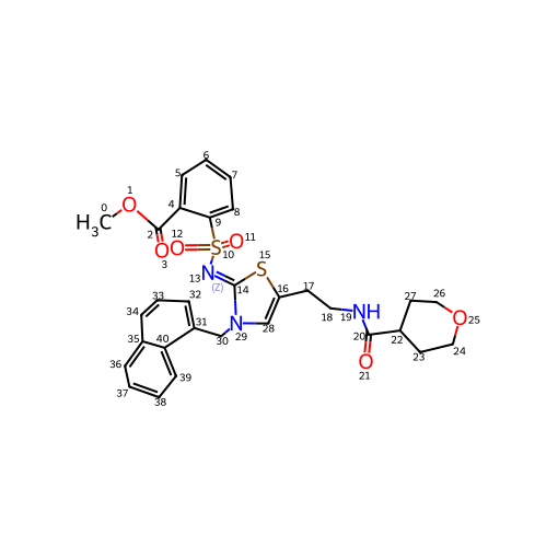 COC(=O)c1ccccc1S(=O)(=O)/N=c1\sc(CCNC(=O)C2CCOCC2)cn1Cc1cccc2ccccc12